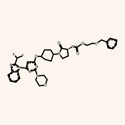 O=C(N[C@H]1CCN(C2CCC(Oc3cc(-n4c(C(F)F)nc5ccccc54)nc(N4CCOCC4)n3)CC2)C1=O)OCCOCc1ccccc1